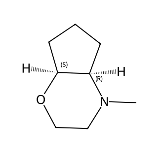 CN1CCO[C@H]2CCC[C@H]21